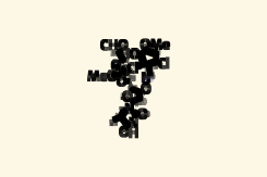 COc1cc(Cl)c(/C=N/O[C@@H]2C[C@H](n3cc(C)c(=O)[nH]c3=O)O[C@@H]2COP(=O)(OC)OCCC=O)c(Cl)c1O